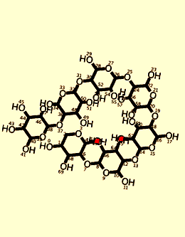 OC1COC(O)C(OC2OC(O)C(OC3OC(O)C(OC4OC(O)C(OC5OC(O)C(OC6OC(O)C(OC7OC(O)C(O)C(O)C7O)C(O)C6O)C(O)C5O)C(O)C4O)C(O)C3O)C(O)C2O)C1O